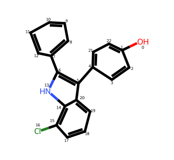 Oc1ccc(-c2c(-c3ccccc3)[nH]c3c(Cl)cccc23)cc1